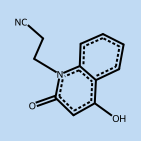 N#CCCn1c(=O)cc(O)c2ccccc21